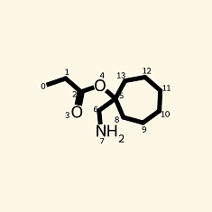 CCC(=O)OC1(CN)CCCCCC1